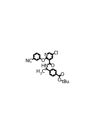 C[C@H](NC(=O)c1cc(Cl)cnc1Oc1cccc(C#N)c1)c1ccc(C(=O)OC(C)(C)C)cc1